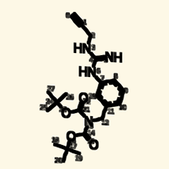 C#CCNC(=N)Nc1cccc(CN(C(=O)OC(C)(C)C)C(=O)OC(C)(C)C)c1